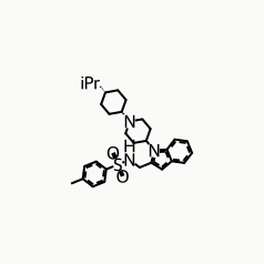 Cc1ccc(S(=O)(=O)NCc2cc3ccccc3n2C2CCN([C@H]3CC[C@@H](C(C)C)CC3)CC2)cc1